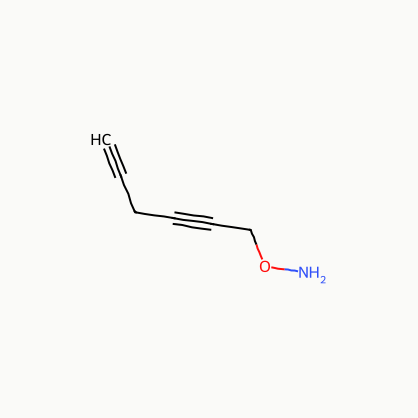 C#CCC#CCON